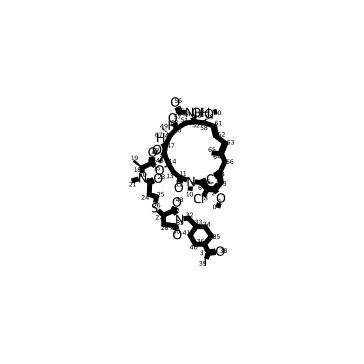 COc1cc2cc(c1Cl)N(C)C(=O)C[C@H](OC(=O)[C@H](C)N(C)C(=O)CCSC1CC(=O)N(CC3CCC(C(=O)I)CC3)C1=O)[C@]1(C)O[C@H]1[C@H](C)[C@@H]1C[C@@](O)(NC(=O)O1)[C@H](OC)/C=C/C=C(\C)C2